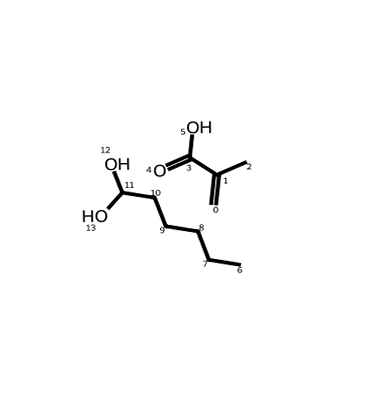 C=C(C)C(=O)O.CCCCCC(O)O